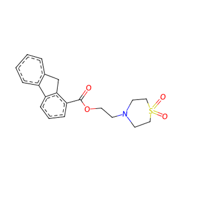 O=C(OCCN1CCS(=O)(=O)CC1)c1cccc2c1Cc1ccccc1-2